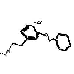 Cl.NCCc1cccc(OCc2ccccc2)c1